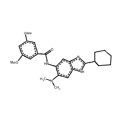 COc1cc(OC)cc(C(=O)Nc2cc3nc(C4CCCCC4)[nH]c3cc2N(C)C)c1